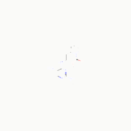 CC(C)(C)Nc1ncc(N)c(NCCC2CCCN2C(=O)OC(C)(C)C)n1